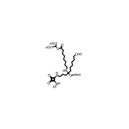 CCCCCCCCCOC(CCCCCCC=O)(CCCNc1c(NCC)c(=O)c1=O)NCCCCCCCC(=O)OC(CCCCCCCC)CCCCCCCC